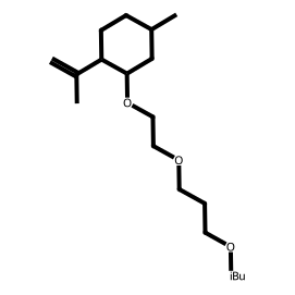 C=C(C)C1CCC(C)CC1OCCOCCCOC(C)CC